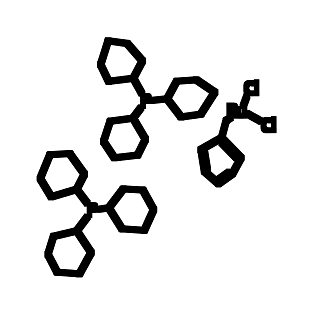 C1CCC(P(C2CCCCC2)C2CCCCC2)CC1.C1CCC(P(C2CCCCC2)C2CCCCC2)CC1.[Cl][Ru]([Cl])[CH2]c1ccccc1